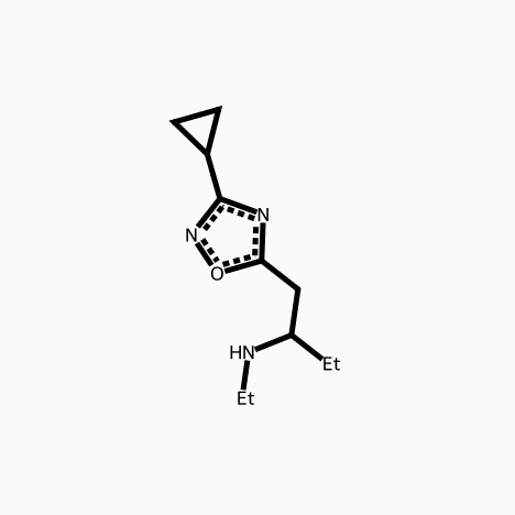 CCNC(CC)Cc1nc(C2CC2)no1